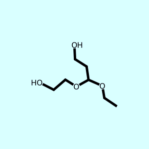 CCOC(CCO)OCCO